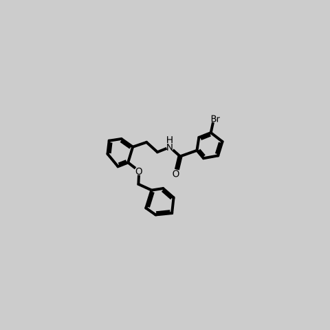 O=C(NCCc1ccccc1OCc1ccccc1)c1cccc(Br)c1